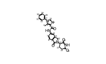 Cc1c(C(=O)Nc2ccc3c(c2)CN(C2CCC(=O)NC2=O)C3=O)ncn1-c1ccccc1